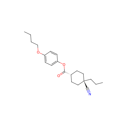 CCCCOc1ccc(OC(=O)[C@H]2CC[C@@](C#N)(CCC)CC2)cc1